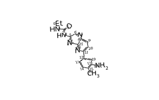 CCNC(=O)Nc1cnc2ccc(-c3ccc(C)c(N)c3)nc2n1